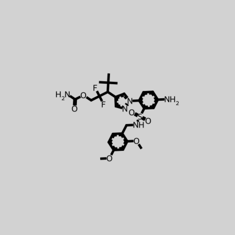 COc1ccc(CNS(=O)(=O)c2cc(N)ccc2-n2cc(C(C(C)(C)C)C(F)(F)COC(N)=O)cn2)c(OC)c1